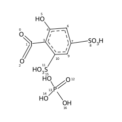 O=I(=O)c1c(O)cc(S(=O)(=O)O)cc1S(=O)(=O)O.O=P(O)(O)O